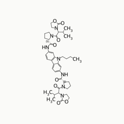 CCCCn1c2cc(NC(=O)[C@@H]3CCCN3C(=O)C(C(C)C)N3CCOC3=O)ccc2c2ccc(NC(=O)[C@@H]3CCCN3C(=O)C(C(C)C)N3CCOC3=O)cc21